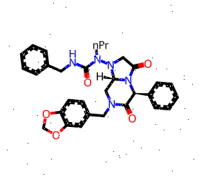 CCCN(C(=O)NCc1ccccc1)N1CC(=O)N2[C@@H](c3ccccc3)C(=O)N(Cc3ccc4c(c3)OCO4)C[C@@H]21